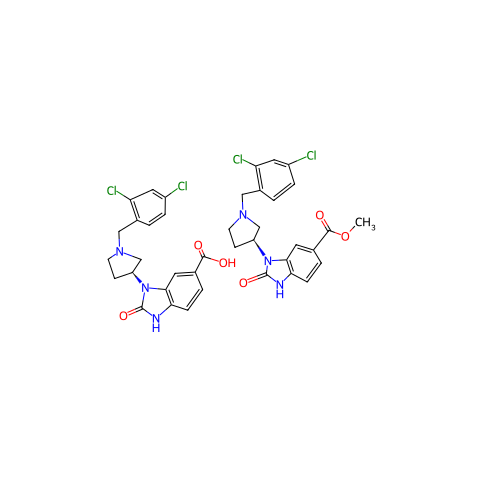 COC(=O)c1ccc2[nH]c(=O)n([C@H]3CCN(Cc4ccc(Cl)cc4Cl)C3)c2c1.O=C(O)c1ccc2[nH]c(=O)n([C@H]3CCN(Cc4ccc(Cl)cc4Cl)C3)c2c1